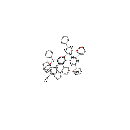 N#Cc1ccc(-c2cc(-c3nc(-c4ccccc4)nc(-c4ccccc4)n3)ccc2N2c3ccccc3C3C=CC=CC32)c(-c2ccc(C#N)cc2-c2cc(-c3nc(-c4ccccc4)nc(-c4ccccc4)n3)ccc2-n2c3ccccc3c3ccccc32)c1